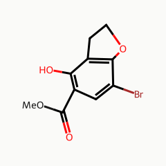 COC(=O)c1cc(Br)c2c(c1O)CCO2